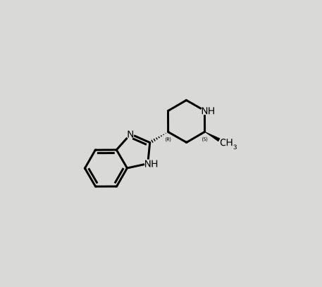 C[C@H]1C[C@H](c2nc3ccccc3[nH]2)CCN1